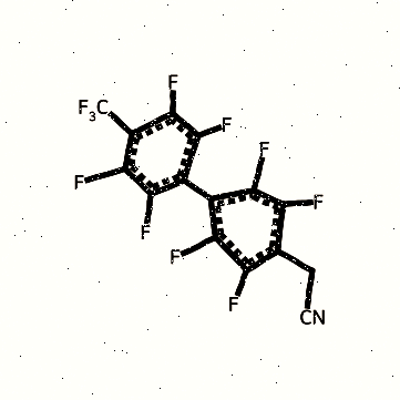 N#CCc1c(F)c(F)c(-c2c(F)c(F)c(C(F)(F)F)c(F)c2F)c(F)c1F